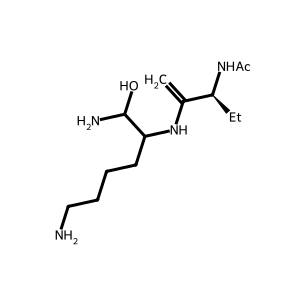 C=C(NC(CCCCN)C(N)O)[C@H](CC)NC(C)=O